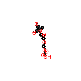 COc1ccc(C(OCc2ccc3c(c2)OCc2cc(COCc4cccc(COC(=O)CCC(=O)O)c4)ccc2-3)(c2ccccc2)c2ccc(OC)cc2)cc1